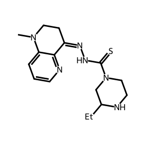 CCC1CN(C(=S)N/N=C2/CCN(C)c3cccnc32)CCN1